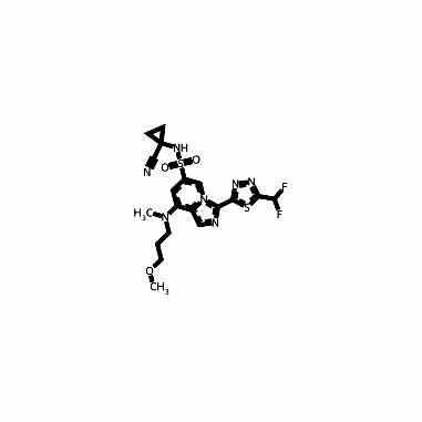 COCCCN(C)c1cc(S(=O)(=O)NC2(C#N)CC2)cn2c(-c3nnc(C(F)F)s3)ncc12